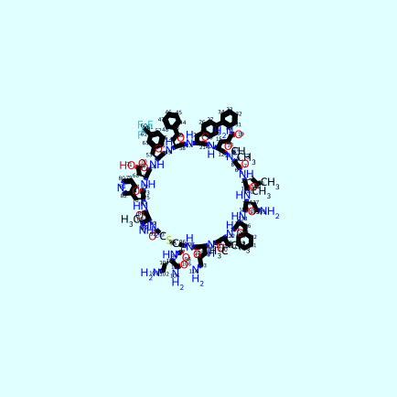 CC(C)C[C@H]1NC(=O)[C@H](C)N(C)C(=O)C(CCC(N)=O)NC(=O)C(Cc2ccc(-c3ccccc3)cc2)NC(=O)[C@H](CCc2ccccc2)NC(=O)[C@H](Cc2cccc(C(F)(F)F)c2)NC(=O)[C@H](CC(=O)O)NC(=O)[C@H](Cc2cccnc2)NC(=O)C([C@@H](C)N)NC(=O)CSC[C@@H](C(=O)N[C@@H](CCN)C(N)=O)NC(=O)C(CCCN)NC(=O)C(C(C)C)NC(=O)C(CC2CCCCC2)NC(=O)[C@H](CCN)NC1=O